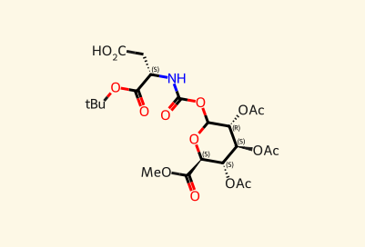 COC(=O)[C@H]1OC(OC(=O)N[C@@H](CC(=O)O)C(=O)OC(C)(C)C)[C@H](OC(C)=O)[C@@H](OC(C)=O)[C@@H]1OC(C)=O